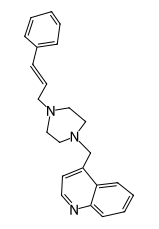 C(=C\c1ccccc1)/CN1CCN(Cc2ccnc3ccccc23)CC1